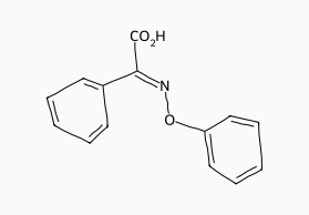 O=C(O)C(=NOc1ccccc1)c1ccccc1